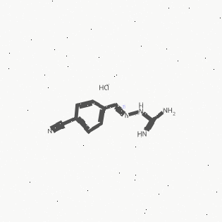 Cl.N#Cc1ccc(/C=N/NC(=N)N)cc1